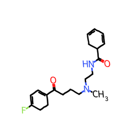 CN(CCCC(=O)C1=CC=C(F)CC1)CCNC(=O)C1C=CC=CC1